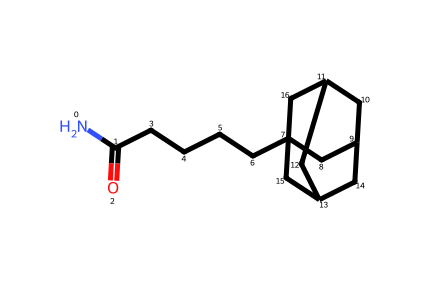 NC(=O)CCCCC12CC3CC(CC(C3)C1)C2